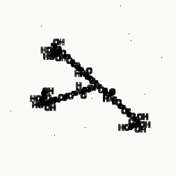 O=C(CCOCN(COCCC(=O)NCCOCCOCCO[C@H]1OC(CO)[C@@H](O)C(O)C1O)COCCC(=O)NCCOCCOCCO[C@H]1OC(CO)[C@@H](O)[C@H](O)C1O)NCCOCCOCCO[C@H]1OC(CO)[C@@H](O)C(O)C1O